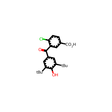 CC(C)(C)c1cc(C(=O)c2cc(C(=O)O)ccc2Cl)cc(C(C)(C)C)c1O